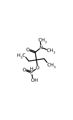 CCC(CC)(O[PH](=O)O)C(=O)N(C)C